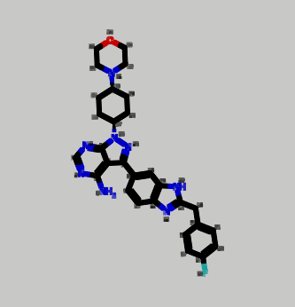 Nc1ncnc2c1c(-c1ccc3nc(Cc4ccc(F)cc4)[nH]c3c1)nn2[C@H]1CC[C@H](N2CCOCC2)CC1